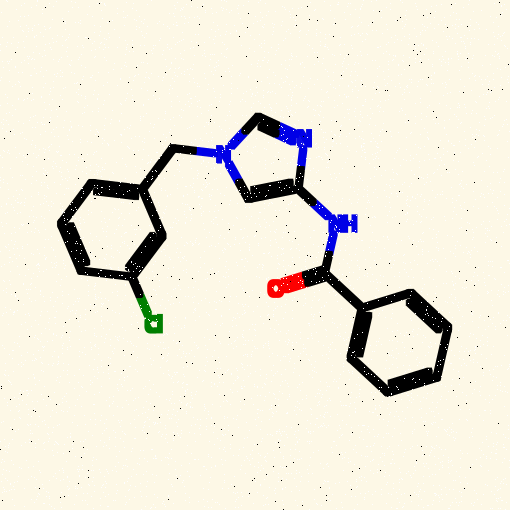 O=C(Nc1cn(Cc2cccc(Cl)c2)cn1)c1ccccc1